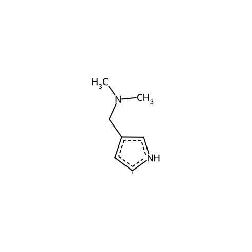 CN(C)Cc1c[c][nH]c1